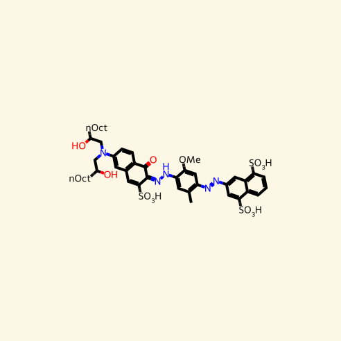 CCCCCCCCC(O)CN(CC(O)CCCCCCCC)c1ccc2c(c1)C=C(S(=O)(=O)O)/C(=N/Nc1cc(C)c(/N=N/c3cc(S(=O)(=O)O)c4cccc(S(=O)(=O)O)c4c3)cc1OC)C2=O